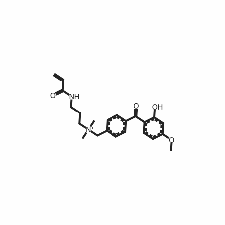 C=CC(=O)NCCC[N+](C)(C)Cc1ccc(C(=O)c2ccc(OC)cc2O)cc1